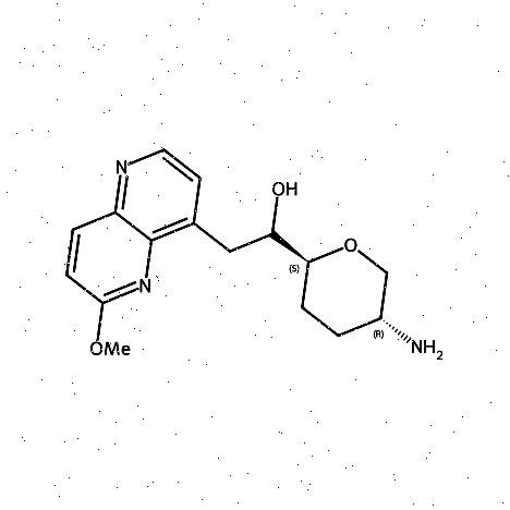 COc1ccc2nccc(CC(O)[C@@H]3CC[C@@H](N)CO3)c2n1